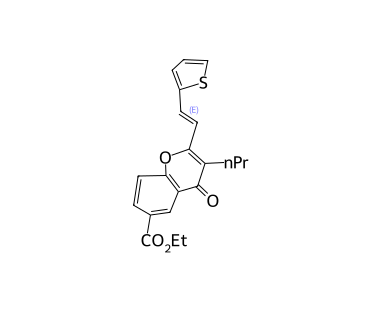 CCCc1c(/C=C/c2cccs2)oc2ccc(C(=O)OCC)cc2c1=O